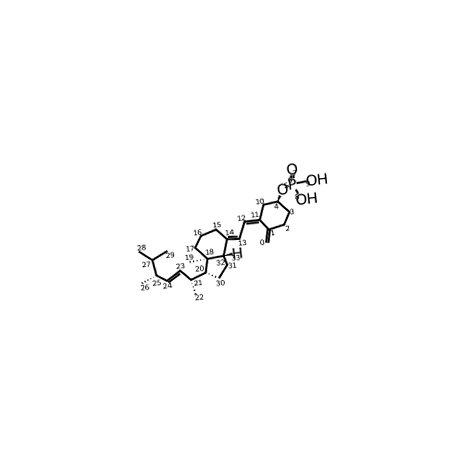 C=C1CC[C@H](OP(=O)(O)O)C/C1=C/C=C1\CCC[C@]2(C)[C@@H]([C@H](C)/C=C/[C@H](C)C(C)C)CC[C@@H]12